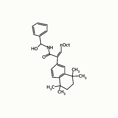 CCCCCCCCC=C(C(=O)NC(O)c1ccccc1)c1ccc2c(c1)C(C)(C)CCC2(C)C